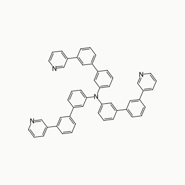 c1cncc(-c2cccc(-c3cccc(N(c4cccc(-c5cccc(-c6cccnc6)c5)c4)c4cccc(-c5cccc(-c6cccnc6)c5)c4)c3)c2)c1